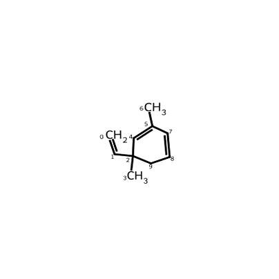 C=CC1(C)C=C(C)C=CC1